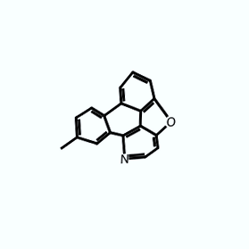 Cc1ccc2c(c1)c1nccc3oc4cccc2c4c31